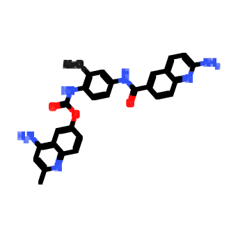 COc1cc(NC(=O)c2ccc3nc(N)ccc3c2)ccc1NC(=O)Oc1ccc2nc(C)cc(N)c2c1